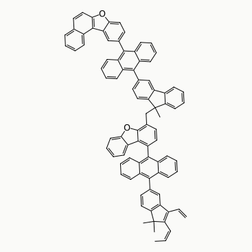 C=CC1=C(/C=C\C)C(C)(C)c2ccc(-c3c4ccccc4c(-c4ccc(CC5(C)c6ccccc6-c6cc(-c7c8ccccc8c(-c8ccc9oc%10ccc%11ccccc%11c%10c9c8)c8ccccc78)ccc65)c5oc6ccccc6c45)c4ccccc34)cc21